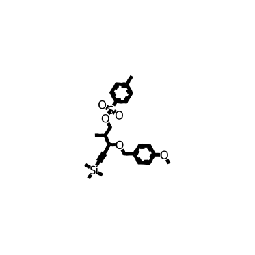 COc1ccc(COC(C#C[Si](C)(C)C)C(C)COS(=O)(=O)c2ccc(C)cc2)cc1